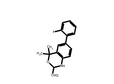 CC1(C)OC(C=O)Nc2ccc(-c3ccccc3F)cc21